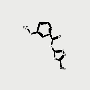 CCCCc1nnc(NC(=O)c2cccc(OC(F)(F)F)c2)o1